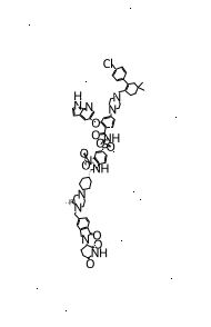 C[C@@H]1CN([C@H]2CC[C@@H](CNc3ccc(S(=O)(=O)NC(=O)c4ccc(N5CCN(CC6=C(c7ccc(Cl)cc7)CC(C)(C)CC6)CC5)cc4Oc4cnc5[nH]ccc5c4)cc3[N+](=O)[O-])CC2)CCN1Cc1ccc2c(c1)CN(C1CCC(=O)NC1=O)C2=O